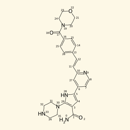 NC(=O)c1cc(-c2ccnc(C=Cc3ccc(C(=O)N4CCOCC4)cc3)c2)[nH]c1N1CCNCC1